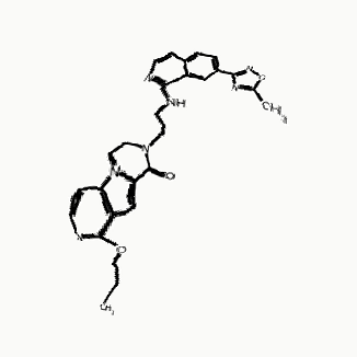 CCCOc1nccc2c1cc1n2CCN(CCNc2nccc3ccc(-c4noc(C)n4)cc23)C1=O